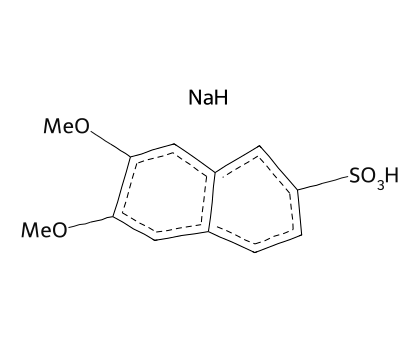 COc1cc2ccc(S(=O)(=O)O)cc2cc1OC.[NaH]